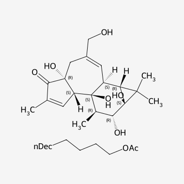 CC1=C[C@H]2[C@@]3(O)[C@H](C)[C@@H](O)[C@]4(O)[C@H]([C@@H]3C=C(CO)C[C@]2(O)C1=O)C4(C)C.CCCCCCCCCCCCCCOC(C)=O